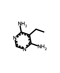 CCc1c(N)ncnc1N